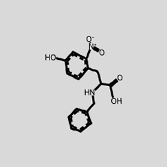 O=C(O)C(Cc1ccc(O)cc1[N+](=O)[O-])NCc1ccccc1